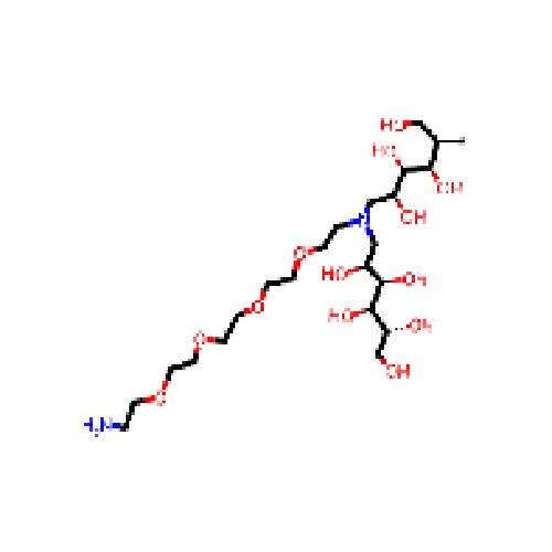 C[C@H](CO)[C@@H](O)[C@H](O)[C@@H](O)CN(CCOCCOCCOCCOCCN)C[C@H](O)[C@@H](O)[C@H](O)[C@H](O)CO